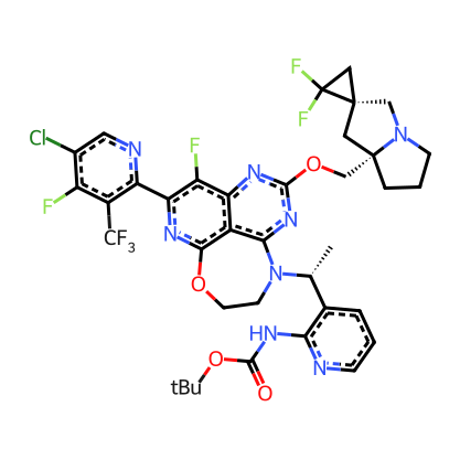 C[C@H](c1cccnc1NC(=O)OC(C)(C)C)N1CCOc2nc(-c3ncc(Cl)c(F)c3C(F)(F)F)c(F)c3nc(OC[C@@]45CCCN4C[C@]4(CC4(F)F)C5)nc1c23